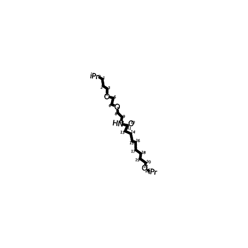 CC(C)CCCOCCOCCNC(=O)CCCCCCCCOC(C)C